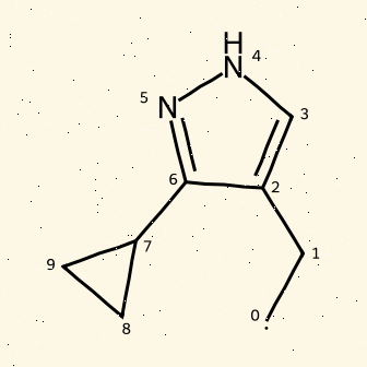 [CH2]Cc1c[nH]nc1C1CC1